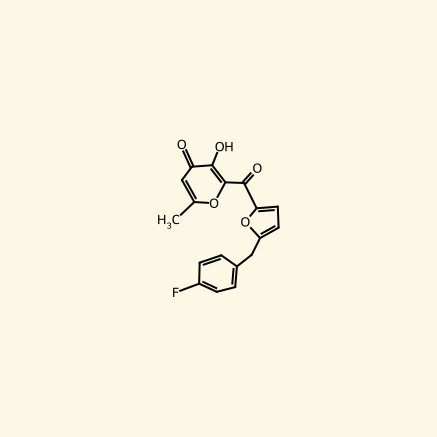 Cc1cc(=O)c(O)c(C(=O)c2ccc(Cc3ccc(F)cc3)o2)o1